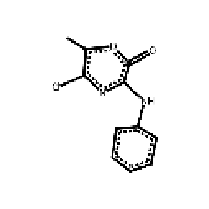 Cc1oc(=O)c(Nc2ccccc2)nc1Cl